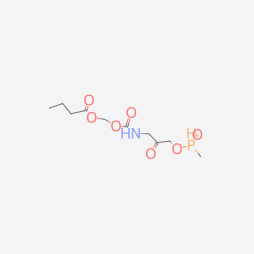 CCCC(=O)OCOC(=O)NCC(=O)CO[PH](C)=O